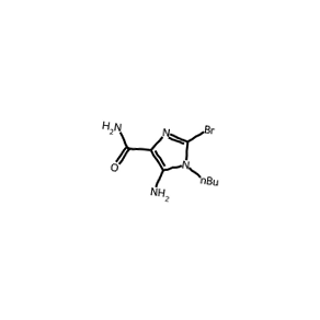 CCCCn1c(Br)nc(C(N)=O)c1N